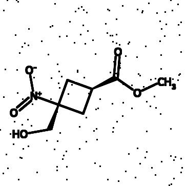 COC(=O)[C@H]1C[C@](CO)([N+](=O)[O-])C1